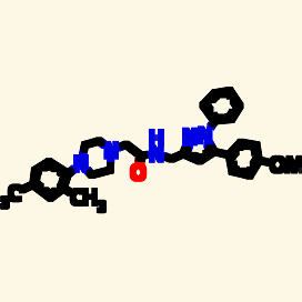 COc1ccc(-c2cc(CNC(=O)CN3CCN(c4ccc(C)cc4C)CC3)nn2-c2ccccc2)cc1